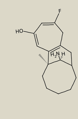 C[C@]12CCCCCC(CC3=C1C=C(O)C=C(F)C3)[C@@H]2N